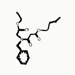 CCCCOC(=O)CC(=O)N(CC(=O)OCC)Cc1ccccc1